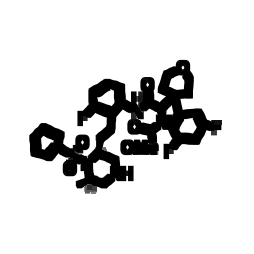 COC(=O)NC(C(=O)Nc1cccc(F)c1CC[C@H]1CNC[C@@H](C)N1S(=O)(=O)c1ccccc1)C1(c2cc(F)cc(F)c2)CCOCC1